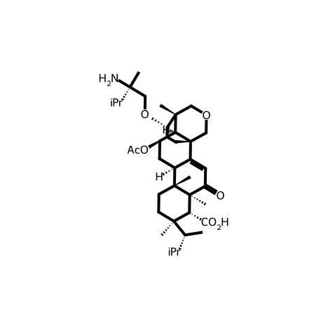 CC(=O)O[C@@H]1C[C@]23COC[C@](C)([C@@H]2CC[C@H]2C3=CC(=O)[C@@]3(C)[C@H](C(=O)O)[C@@](C)([C@H](C)C(C)C)CC[C@]23C)[C@H]1OC[C@](C)(N)C(C)C